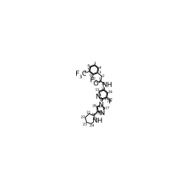 O=C(Cc1cccc(C(F)(F)F)c1F)Nc1cnc(-n2cnc(C3CCCCN3)c2)c(F)c1